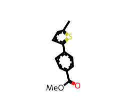 COC(=O)c1ccc(-c2ccc(C)s2)cc1